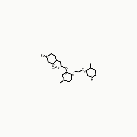 CCN1CCC(CCO[C@H]2CN(C)CC[C@H]2CCO[C@H]2CNCCC2C)[C@@H](OC)C1